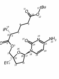 CC[C@@]1(COC(=O)[C@@H](CCCC(=O)OC(C)(C)C)C(C)C)CC[C@H](n2ccc(N)nc2=O)O1